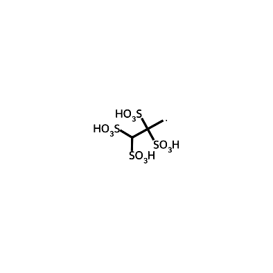 [CH2]C(C(S(=O)(=O)O)S(=O)(=O)O)(S(=O)(=O)O)S(=O)(=O)O